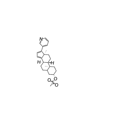 C[C@]12CC[C@H]3[C@@H](CCC4C[C@@H](OS(C)(=O)=O)CC[C@@]43C)C1=CC=C2c1cccnc1